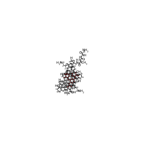 C[C@H](NC(=O)CNC(=O)CN)C(=O)NCC(=O)N[C@@H](CS)C(=O)N[C@@H](CCCCN)C(=O)N[C@@H](CC(N)=O)C(=O)N(c1ccccc1)[C@@H](C)C(=O)N[C@@H](Cc1ccccc1)C(=O)N[C@@H](Cc1c[nH]c2ccccc12)C(=O)N[C@@H](CCCCN)C(=O)N[C@H](C(=O)N[C@@H](Cc1ccccc1)C(=O)N[C@H](C(=O)N[C@@H](Cc1ccccc1)C(=O)N[C@H](C(=O)N[C@@H](CO)C(=O)N[C@@H](CS)C(=O)O)[C@@H](C)O)[C@@H](C)O)[C@@H](C)O